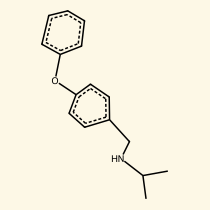 CC(C)NCc1ccc(Oc2ccccc2)cc1